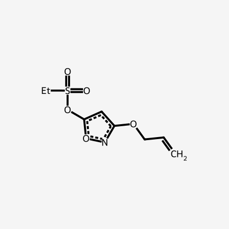 C=CCOc1cc(OS(=O)(=O)CC)on1